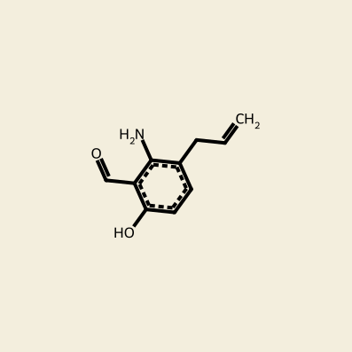 C=CCc1ccc(O)c(C=O)c1N